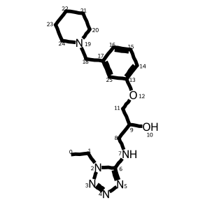 CCn1nnnc1NCC(O)COc1cccc(CN2CCCCC2)c1